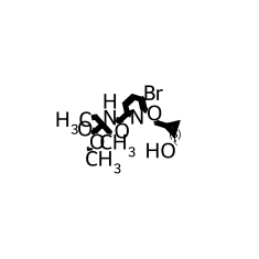 CCOC(=O)C(CC)(CC)NC(=O)c1ccc(Br)c(OCC2C[C@@H]2CO)n1